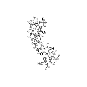 CCC(C(=O)[C@@H](C)[C@@H](O)[C@H](C)[C@@H]1O[C@@H](C(CC)C(=O)O)CC[C@@H]1C)[C@H]1O[C@]2(C=C[C@@H](NC(=O)OCC(F)(F)F)[C@]3(CC[C@@](C)([C@H]4CC[C@](O)(CC)[C@H](C)O4)O3)O2)[C@H](C)C[C@@H]1C